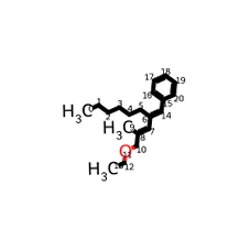 CCCCCCC(/C=C(\C)COCC)=C\c1ccccc1